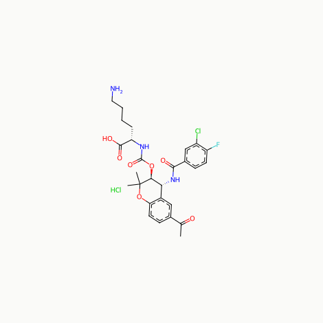 CC(=O)c1ccc2c(c1)[C@@H](NC(=O)c1ccc(F)c(Cl)c1)[C@H](OC(=O)N[C@@H](CCCCN)C(=O)O)C(C)(C)O2.Cl